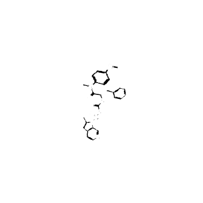 COc1ccc(N(C)C(=O)[C@H](Cc2ccccc2)NC(=O)NS(=O)(=O)n2c(C)cc3ccncc32)cc1